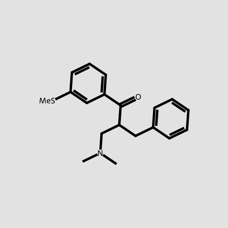 CSc1cccc(C(=O)C(Cc2ccccc2)CN(C)C)c1